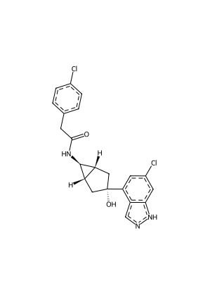 O=C(Cc1ccc(Cl)cc1)N[C@H]1[C@@H]2C[C@@](O)(c3cc(Cl)cc4[nH]ncc34)C[C@@H]21